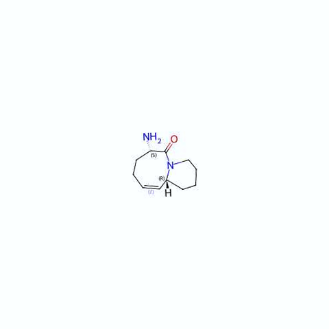 N[C@H]1CC/C=C\[C@H]2CCCCN2C1=O